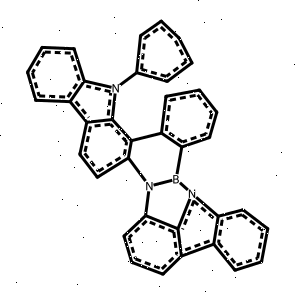 c1ccc(-n2c3ccccc3c3ccc4c(c32)-c2ccccc2B2N4c3cccc4c5ccccc5n2c34)cc1